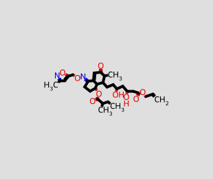 C=CCOC(=O)CC(O)CC(O)CCC1C(C)C(=O)C=C2/C(=N/OCc3cc(C)no3)CCC(OC(=O)C(C)CC)C21